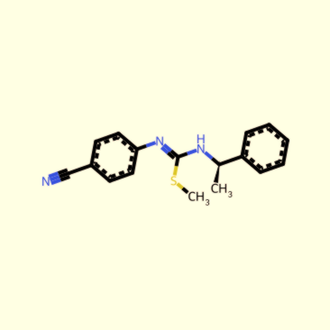 CSC(=Nc1ccc(C#N)cc1)N[C@H](C)c1ccccc1